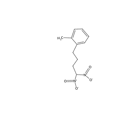 Cc1ccccc1CCCC([N+](=O)[O-])[N+](=O)[O-]